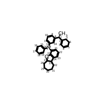 C[C@@H](C1=CC=CCC1)c1cccc(N(c2ccccc2)c2cccc3c2OC2CCCCCC32)c1